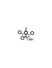 O=C(N1CCNCC1C(c1ccccc1)c1ccccc1)N1CCNCC1C(c1ccccc1)c1ccccc1